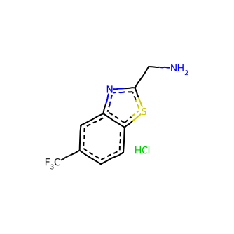 Cl.NCc1nc2cc(C(F)(F)F)ccc2s1